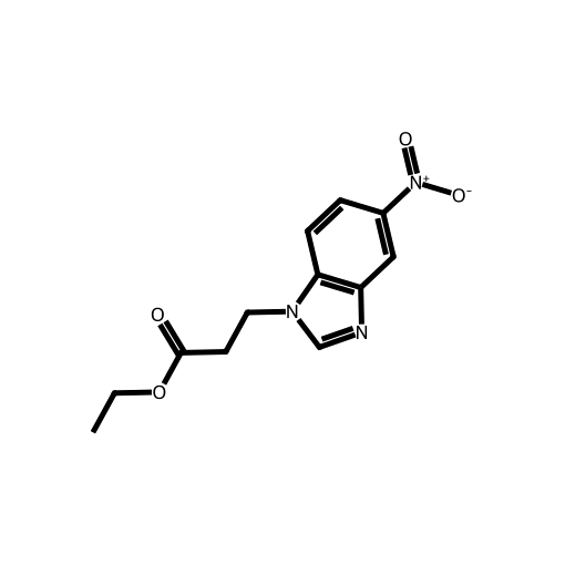 CCOC(=O)CCn1cnc2cc([N+](=O)[O-])ccc21